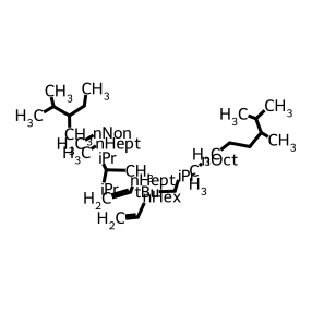 C=CCCCCCC.C=CCCCCCCC.CC(C)C(C)C(C)C.CC(C)CC(C)(C)C.CCC(C)C(C)C.CCCC(C)C(C)C.CCCCCCCC.CCCCCCCCC.CCCCCCCCCC